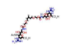 CC(=O)N[C@H]1[C@H]([C@H](O)[C@H](O)CNC(=O)OCCOCCC(C)CCOCCOC(=O)NC[C@@H](O)[C@@H](O)[C@@H]2OC(C(=O)O)=C[C@H](NC(=N)N)[C@H]2C)OC(C(=O)O)=C[C@@H]1NC(=N)N